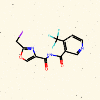 O=C(NC(=O)c1cnccc1C(F)(F)F)c1coc(CI)n1